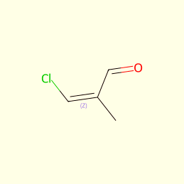 C/C(C=O)=C/Cl